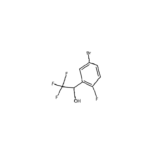 OC(c1cc(Br)ccc1F)C(F)(F)F